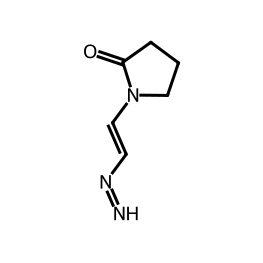 N=NC=CN1CCCC1=O